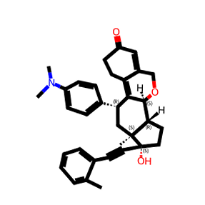 Cc1ccccc1C#C[C@]1(O)CC[C@H]2[C@@H]3OCC4=CC(=O)CCC4=C3[C@@H](c3ccc(N(C)C)cc3)C[C@@]21C